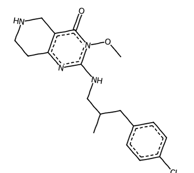 COn1c(NCC(C)Cc2ccc(Cl)cc2)nc2c(c1=O)CNCC2